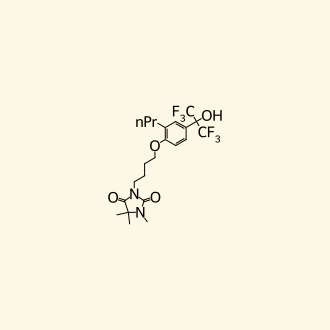 CCCc1cc(C(O)(C(F)(F)F)C(F)(F)F)ccc1OCCCCN1C(=O)N(C)C(C)(C)C1=O